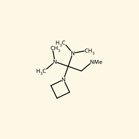 CNCC(N(C)C)(N(C)C)N1CCC1